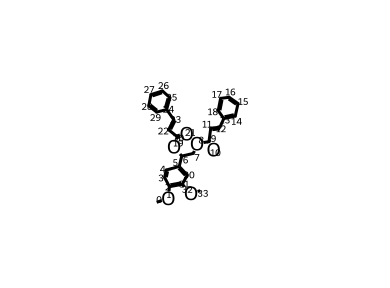 COc1ccc(C(COC(=O)/C=C/c2ccccc2)OC(=O)/C=C/c2ccccc2)cc1OC